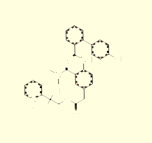 CCOC(=O)C(COC(=O)Cc1ccc(NC(=O)c2ccccc2-c2ccc(C(F)(F)F)cc2)c(C(=O)N(C)C)c1)(C(=O)OCC)c1ccccn1